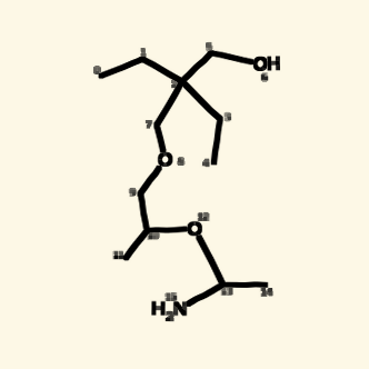 CCC(CC)(CO)COCC(C)OC(C)N